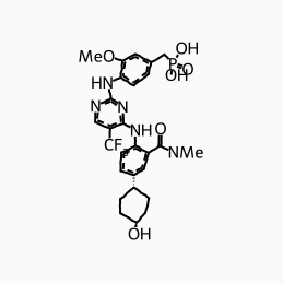 CNC(=O)c1cc([C@H]2CC[C@H](O)CC2)ccc1Nc1nc(Nc2ccc(CP(=O)(O)O)cc2OC)ncc1C(F)(F)F